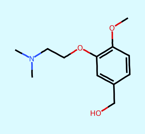 COc1ccc(CO)cc1OCCN(C)C